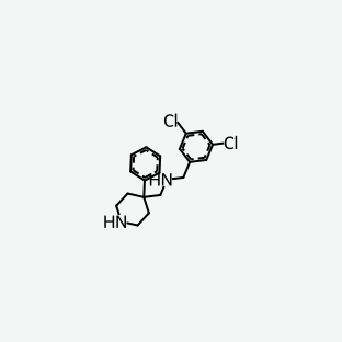 Clc1cc(Cl)cc(CNCC2(c3ccccc3)CCNCC2)c1